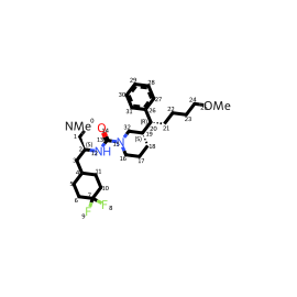 CNC[C@H](CC1CCC(F)(F)CC1)NC(=O)N1CCC[C@@H]([C@@H](CCCCOC)c2ccccc2)C1